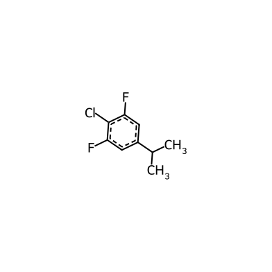 CC(C)c1cc(F)c(Cl)c(F)c1